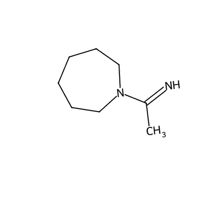 CC(=N)N1CCCCCC1